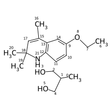 CC(CO)CO.CCOc1ccc2c(c1)C(C)=CC(C)(C)N2